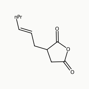 CCC/C=C/CC1CC(=O)OC1=O